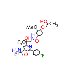 CC[C@]1(N)COc2c1cc([C@](O)(CNC(=O)c1ccc(OC[C@@H](C)O)c(OC)c1)C(F)(F)F)nc2-c1ccc(F)cc1